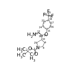 CC(C)(C)OC(=O)N1CCC([C@@H](CN)Oc2ccc(C(F)(F)F)cc2)C1